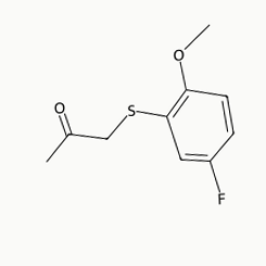 COc1ccc(F)cc1SCC(C)=O